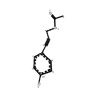 CC(=O)OCC#Cc1ccc(Cl)cc1